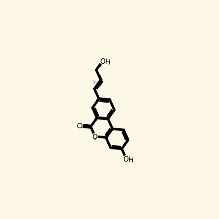 O=c1oc2cc(O)ccc2c2ccc(/C=C/CO)cc12